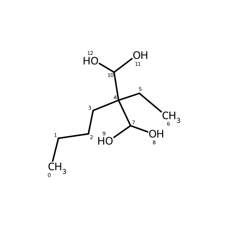 CCCCC(CC)(C(O)O)C(O)O